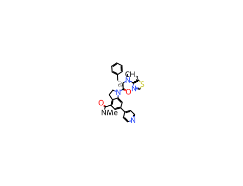 CNC(=O)c1cc(-c2ccncc2)cc2c1CCN2C(=O)[C@H](Cc1ccccc1)N(C)c1cscn1